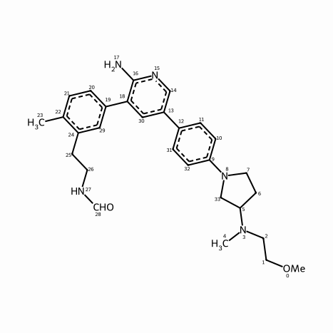 COCCN(C)C1CCN(c2ccc(-c3cnc(N)c(-c4ccc(C)c(CCNC=O)c4)c3)cc2)C1